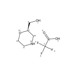 O=C(O)C(F)(F)F.OC[C@H]1CNCCO1